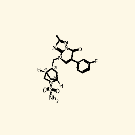 Cc1nc2n(C[C@H]3C[C@H]4C[C@@H]3CN4S(N)(=O)=O)cc(-c3cccc(F)c3)c(=O)n2n1